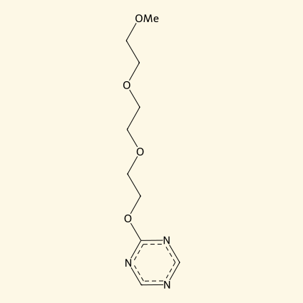 COCCOCCOCCOc1ncncn1